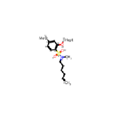 C=CCCCCN(C)S(=O)(=O)c1ccc(OC)cc1OCCCCCCC